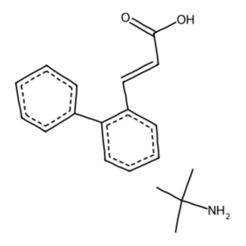 CC(C)(C)N.O=C(O)C=Cc1ccccc1-c1ccccc1